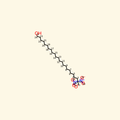 O=[C]C(CCCCCCCCCCCCCCCCCCCCCCO)([N+](=O)[O-])[N+](=O)[O-]